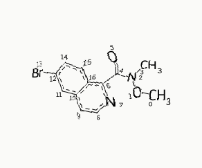 CON(C)C(=O)c1nccc2cc(Br)ccc12